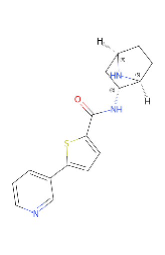 O=C(N[C@@H]1C[C@H]2CC[C@@H]1N2)c1ccc(-c2cccnc2)s1